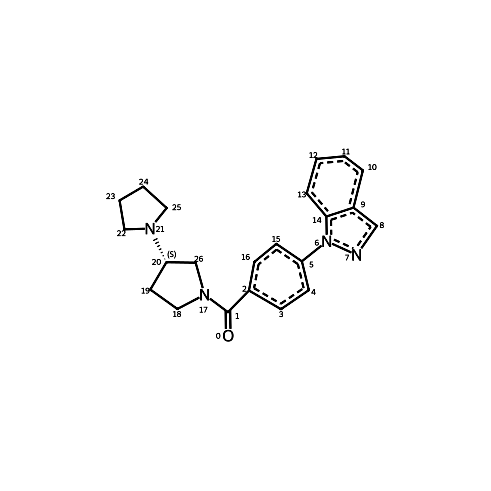 O=C(c1ccc(-n2ncc3ccccc32)cc1)N1CC[C@H](N2CCCC2)C1